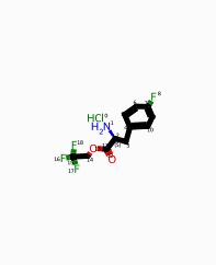 Cl.N[C@@H](Cc1ccc(F)cc1)C(=O)OCC(F)(F)F